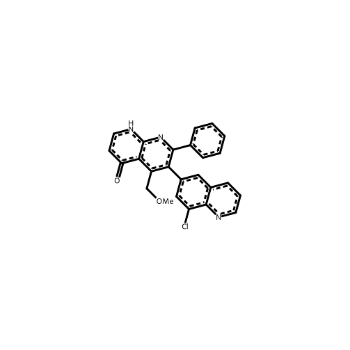 COCc1c(-c2cc(Cl)c3ncccc3c2)c(-c2ccccc2)nc2[nH]ccc(=O)c12